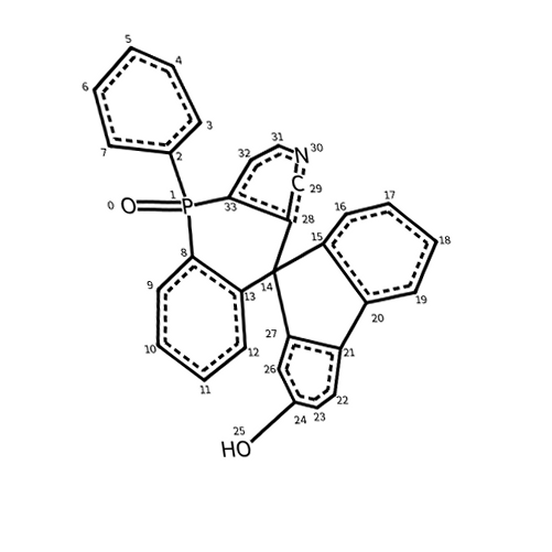 O=P1(c2ccccc2)c2ccccc2C2(c3ccccc3-c3ccc(O)cc32)c2cnccc21